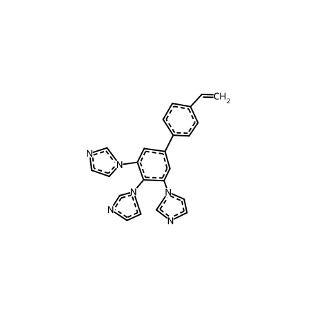 C=Cc1ccc(-c2cc(-n3ccnc3)c(-n3ccnc3)c(-n3ccnc3)c2)cc1